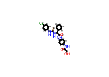 O=C(CO)Nc1ccc(NC(=O)C(NC(=S)Nc2ccc(Cl)cc2)c2ccccc2)cc1